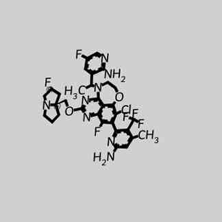 Cc1cc(N)nc(-c2c(Cl)c3c4c(nc(OC[C@@]56CCCN5C[C@H](F)C6)nc4c2F)N(C(C)c2cc(F)cnc2N)CCO3)c1C(F)(F)F